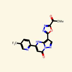 COC(=O)c1nnc(-c2cnn3c(=O)cc(-c4ccc(C(F)(F)F)cn4)[nH]c23)o1